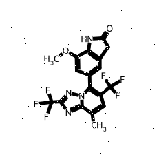 COc1cc(-c2c(C(F)(F)F)cc(C)c3nc(C(F)(F)F)nn23)cc2c1NC(=O)C2